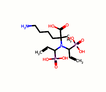 C=CC(N(C(C=C)P(=O)(O)O)C(C)(CCCCN)C(=O)O)P(=O)(O)O